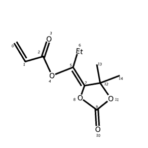 C=CC(=O)OC(CC)=C1OC(=O)OC1(C)C